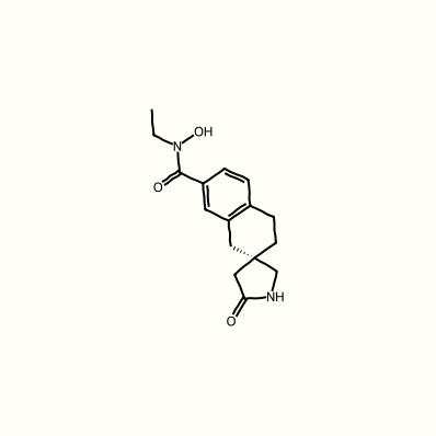 CCN(O)C(=O)c1ccc2c(c1)C[C@]1(CC2)CNC(=O)C1